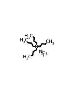 CCCC[N+](CCCC)(CCCC)CCCC.I.N.[I-]